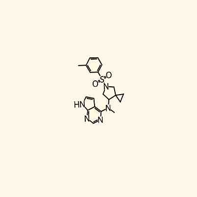 Cc1cccc(S(=O)(=O)N2CC(N(C)c3ncnc4[nH]ccc34)C3(CC3)C2)c1